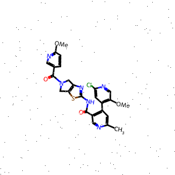 COc1ccc(C(=O)N2Cc3nc(NC(=O)c4cnc(C)cc4-c4cc(Cl)ncc4OC)sc3C2)cn1